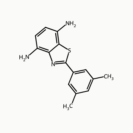 Cc1cc(C)cc(-c2nc3c(N)ccc(N)c3s2)c1